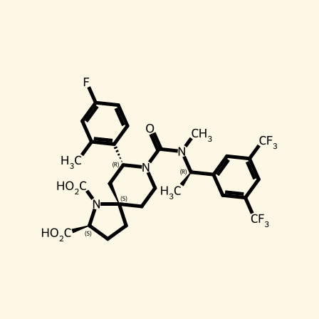 Cc1cc(F)ccc1[C@H]1C[C@]2(CC[C@@H](C(=O)O)N2C(=O)O)CCN1C(=O)N(C)[C@H](C)c1cc(C(F)(F)F)cc(C(F)(F)F)c1